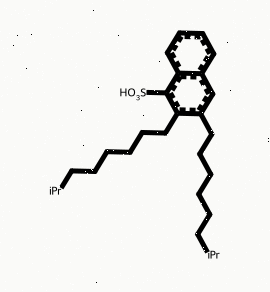 CC(C)CCCCCCc1cc2ccccc2c(S(=O)(=O)O)c1CCCCCCC(C)C